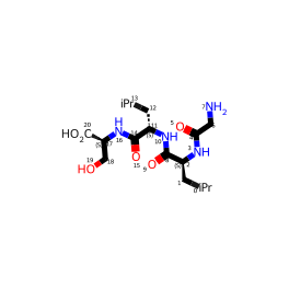 CC(C)C[C@H](NC(=O)CN)C(=O)N[C@@H](CC(C)C)C(=O)N[C@@H](CO)C(=O)O